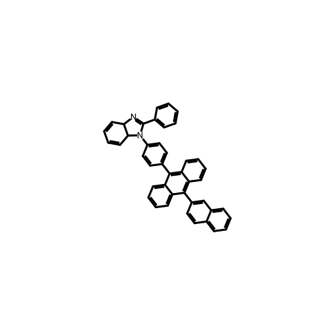 C1=CC2N=C(c3ccccc3)N(c3ccc(-c4c5ccccc5c(-c5ccc6ccccc6c5)c5ccccc45)cc3)C2C=C1